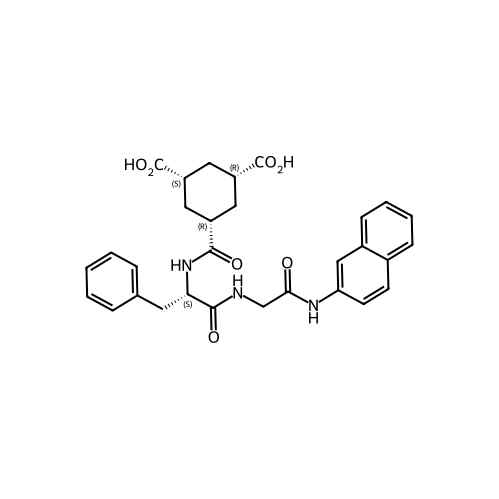 O=C(CNC(=O)[C@H](Cc1ccccc1)NC(=O)[C@@H]1C[C@H](C(=O)O)C[C@H](C(=O)O)C1)Nc1ccc2ccccc2c1